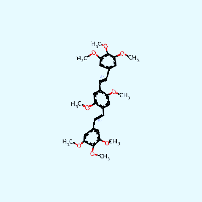 COc1cc(/C=C/c2cc(OC)c(OC)c(OC)c2)c(OC)cc1/C=C/c1cc(OC)c(OC)c(OC)c1